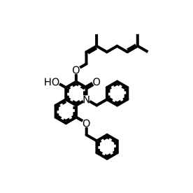 CC(C)=CCCC(C)=CCOc1c(O)c2cccc(OCc3ccccc3)c2n(Cc2ccccc2)c1=O